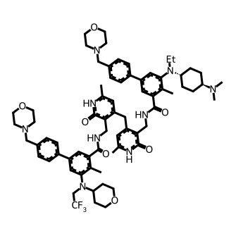 CCN(c1cc(-c2ccc(CN3CCOCC3)cc2)cc(C(=O)NCc2c(Cc3cc(C)[nH]c(=O)c3CNC(=O)c3cc(-c4ccc(CN5CCOCC5)cc4)cc(N(CC(F)(F)F)C4CCOCC4)c3C)cc(C)[nH]c2=O)c1C)[C@H]1CC[C@H](N(C)C)CC1